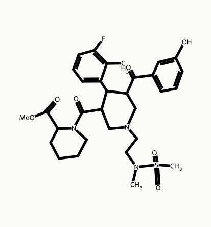 COC(=O)C1CCCCN1C(=O)C1CN(CCN(C)S(C)(=O)=O)CC(C(=O)c2cccc(O)c2)C1c1cccc(F)c1C